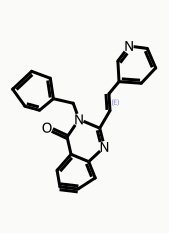 O=c1c2cc#ccc2nc(/C=C/c2cccnc2)n1Cc1ccccc1